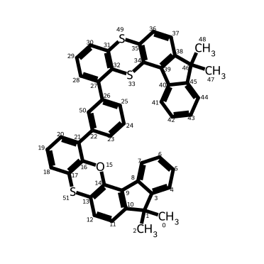 CC1(C)c2ccccc2-c2c1ccc1c2Oc2c(cccc2-c2cccc(-c3cccc4c3Sc3c(ccc5c3-c3ccccc3C5(C)C)S4)c2)S1